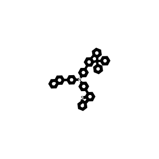 c1ccc(C2(c3ccccc3)c3ccccc3-c3ccc(-c4ccc(N(c5ccc(-c6ccc7ccccc7c6)cc5)c5ccc(-c6cccc7c6sc6ccccc67)cc5)cc4)cc32)cc1